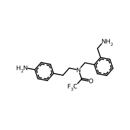 NCc1ccccc1CN(CCc1ccc(N)cc1)C(=O)C(F)(F)F